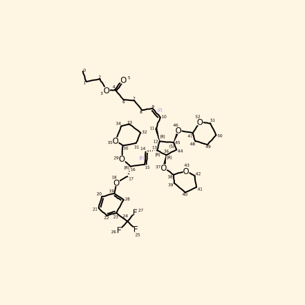 CCCOC(=O)CCC/C=C\C[C@@H]1[C@@H](/C=C/[C@H](COc2cccc(C(F)(F)F)c2)OC2CCCCO2)[C@H](OC2CCCCO2)C[C@@H]1OC1CCCCO1